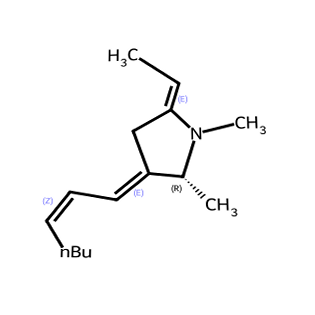 C/C=C1\C/C(=C\C=C/CCCC)[C@@H](C)N1C